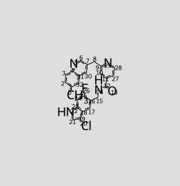 Cc1ccc2ncc(Cc3cc(C(=O)NCc4cc5c(Cl)c[nH]c5cc4F)ccn3)cc2c1